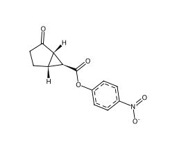 O=C1CC[C@@H]2[C@H]1[C@H]2C(=O)Oc1ccc([N+](=O)[O-])cc1